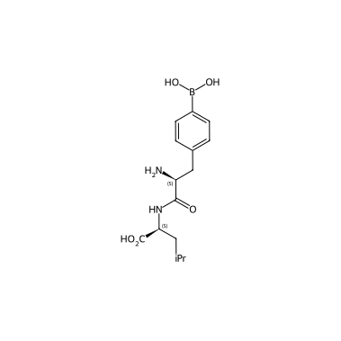 CC(C)C[C@H](NC(=O)[C@@H](N)Cc1ccc(B(O)O)cc1)C(=O)O